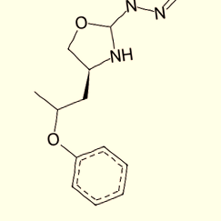 CC(C[C@H]1COC(NN=N)N1)Oc1ccccc1